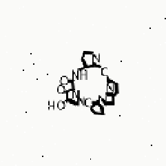 O=C1NCc2cccnc2CCc2ccc3ccn(c3n2)C2(CCCC2)Cn2cc(O)c(=O)c1n2